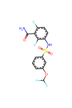 NC(=O)c1c(F)ccc(NS(=O)(=O)c2cccc(OC(F)F)c2)c1F